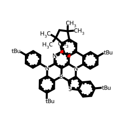 Cc1cc2c3c(n1)N(c1ccc(C(C)(C)C)cc1)c1ccc(C(C)(C)C)cc1B3c1sc3ccc(C(C)(C)C)cc3c1N2c1ccc(C(C)(C)C)cc1-c1ccc2c(c1)C(C)(C)CC2(C)C